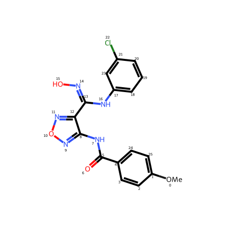 COc1ccc(C(=O)Nc2nonc2/C(=N\O)Nc2cccc(Cl)c2)cc1